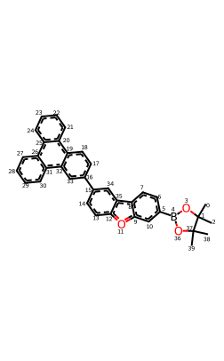 CC1(C)OB(c2ccc3c(c2)oc2ccc(-c4ccc5c6ccccc6c6ccccc6c5c4)cc23)OC1(C)C